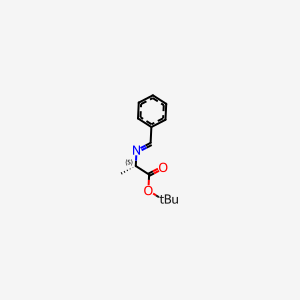 C[C@H](N=Cc1ccccc1)C(=O)OC(C)(C)C